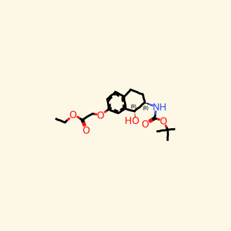 CCOC(=O)COc1ccc2c(c1)[C@@H](O)[C@H](NC(=O)OC(C)(C)C)CC2